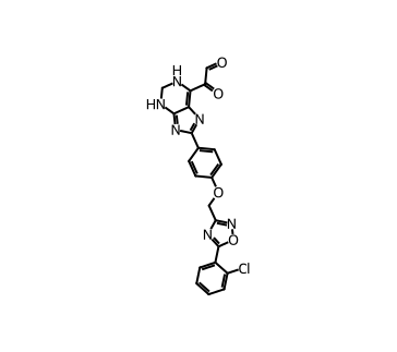 O=CC(=O)C1=C2N=C(c3ccc(OCc4noc(-c5ccccc5Cl)n4)cc3)N=C2NCN1